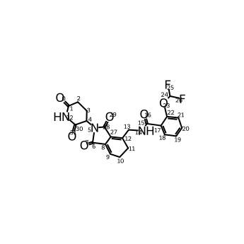 O=C1CCC(N2C(=O)C3=CCCC(CNC(=O)c4ccccc4OC(F)F)=C3C2=O)C(=O)N1